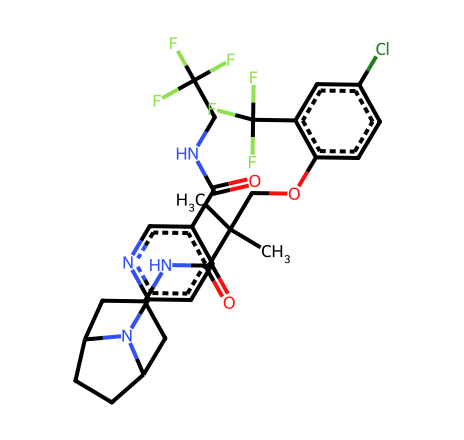 CC(C)(COc1ccc(Cl)cc1C(F)(F)F)C(=O)NC1CC2CCC(C1)N2c1ccc(C(=O)NCC(F)(F)F)cn1